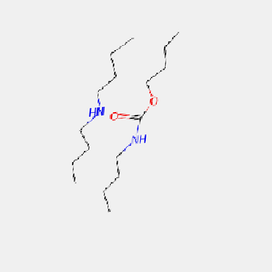 CCCCNC(=O)OCCCC.CCCCNCCCC